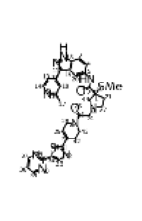 CS[C@@]1(C(=O)Nc2ccc3[nH]nc(-c4ccnc(C)c4)c3c2)CCN(CC(=O)N2CC=C(c3ncc(-c4ncccn4)s3)CC2)C1